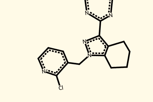 Clc1ncccc1Cn1nc(-c2ncccn2)c2c1CCCC2